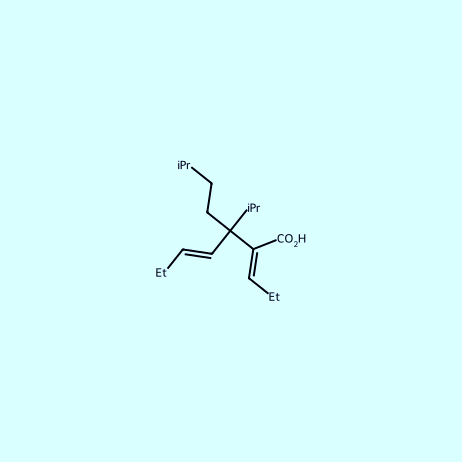 CCC=CC(CCC(C)C)(C(=CCC)C(=O)O)C(C)C